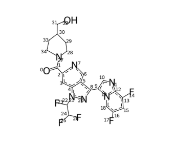 O=C(c1cc2c(cn1)c(-c1cnc3c(F)cc(F)cn13)nn2C(F)C(F)F)N1CCC(CO)CC1